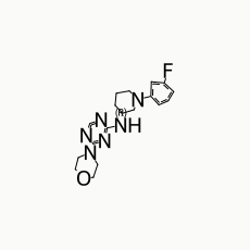 Fc1cccc(N2CCC[C@@H](Nc3ncnc(N4CCOCC4)n3)C2)c1